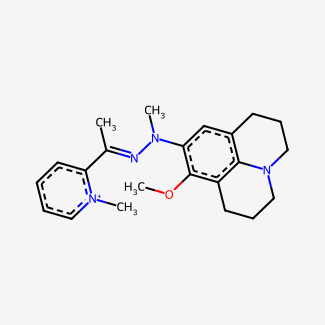 COc1c(N(C)/N=C(\C)c2cccc[n+]2C)cc2c3c1CCCN3CCC2